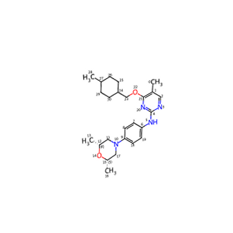 Cc1cnc(Nc2ccc(N3C[C@@H](C)O[C@@H](C)C3)cc2)nc1OCC1CCC(C)CC1